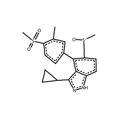 Cc1cc(-c2c([S+](C)[O-])ccc3[nH]nc(C4CC4)c23)ccc1S(C)(=O)=O